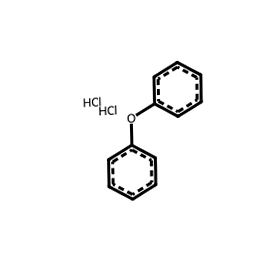 Cl.Cl.c1ccc(Oc2ccccc2)cc1